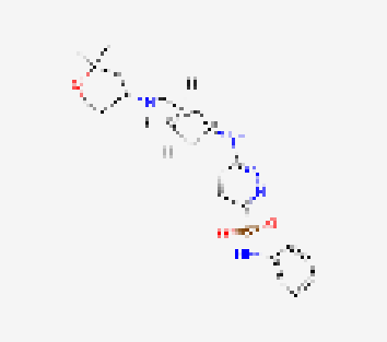 CC1(C)CC(N2C[C@H]3C[C@@H](Nc4ccc(S(=O)(=O)Nc5ccccc5)nn4)C[C@H]3C2)CCO1